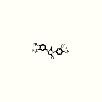 C=C1N(c2ccc(C#N)c(C(F)(F)F)c2)CC(=O)N1c1ccc(C#N)c(C(F)(F)F)c1